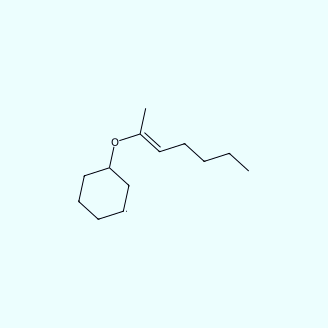 CCCCC=C(C)OC1C[CH]CCC1